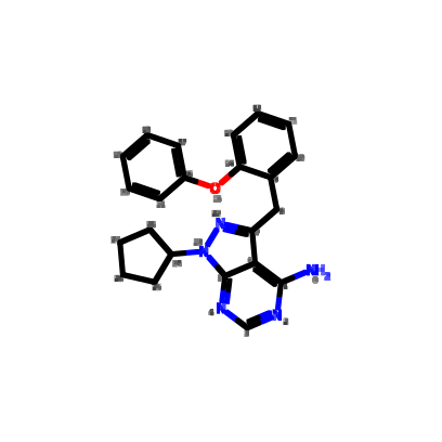 Nc1ncnc2c1c(Cc1ccccc1Oc1ccccc1)nn2C1CCCC1